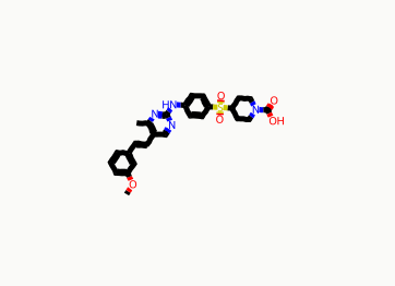 COc1cccc(C=Cc2cnc(Nc3ccc(S(=O)(=O)C4CCN(C(=O)O)CC4)cc3)nc2C)c1